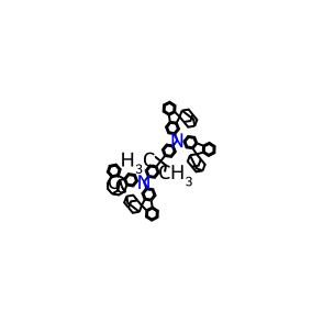 CCC(CC)(c1ccc(N(c2ccc3c(c2)C2CC4CC(CC(C4)c4ccccc4-3)C2)c2ccc3c(c2)C2(c4ccccc4-3)C3CC4CC(C3)CC2C4)cc1)c1ccc(N(c2ccc3c(c2)C2(c4ccccc4-3)C3CC4CC(C3)CC2C4)c2ccc3c(c2)C2(c4ccccc4-3)C3CC4CC(C3)CC2C4)cc1